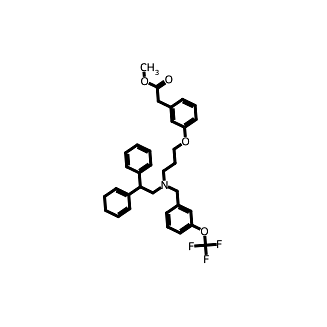 COC(=O)Cc1cccc(OCCCN(Cc2cccc(OC(F)(F)F)c2)CC(C2=CCCC=C2)c2ccccc2)c1